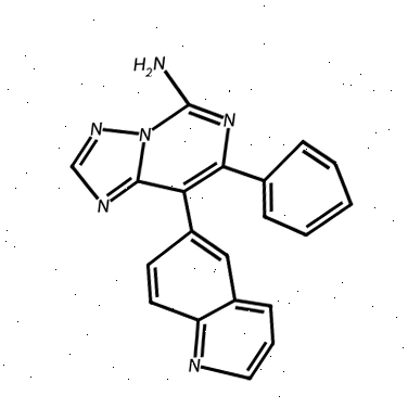 Nc1nc(-c2ccccc2)c(-c2ccc3ncccc3c2)c2ncnn12